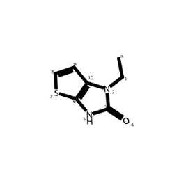 CCn1c(=O)[nH]c2sccc21